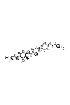 C=CCCC1CCC(C2CCC(COc3ccc(OCC)c(F)c3F)OC2)CC1